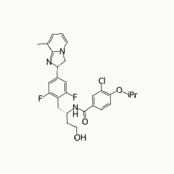 CC1=CC=CN2CC(c3cc(F)c(C[C@@H](CCO)NC(=O)c4ccc(OC(C)C)c(Cl)c4)c(F)c3)N=C12